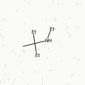 C[CH]NC(C)(CC)CC